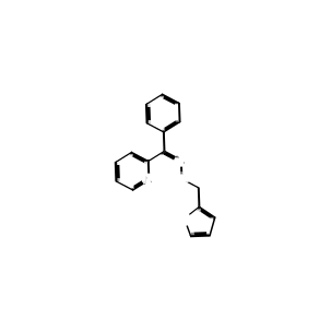 c1ccc(C(=NOCc2cccs2)c2ccccn2)cc1